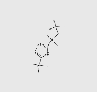 CC(C)(C)CC(C)(C)c1ccc([Si](C)(C)C)s1